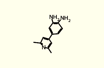 Cc1cc(-c2ccc(N)c(N)c2)cc(C)n1